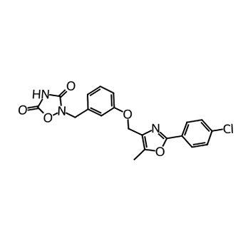 Cc1oc(-c2ccc(Cl)cc2)nc1COc1cccc(Cn2oc(=O)[nH]c2=O)c1